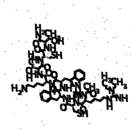 CCN(CC)C(=N)NCCCC[C@H](NC(C)=O)C(=O)N[C@@H](CS)C(=O)N[C@@H](Cc1ccccc1)C(=O)N[C@H](Cc1c[nH]c2ccccc12)C(=O)N[C@@H](CCCCN)C(=O)N[C@H](C(=O)N[C@@H](CS)C(=O)N[C@H](C(N)=O)[C@@H](C)O)[C@@H](C)O